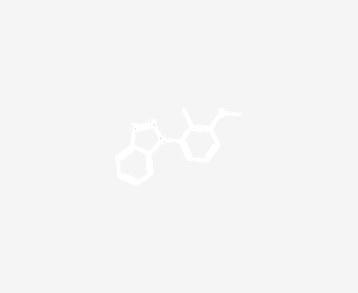 CSc1cccc(-n2nnc3ccccc32)c1C